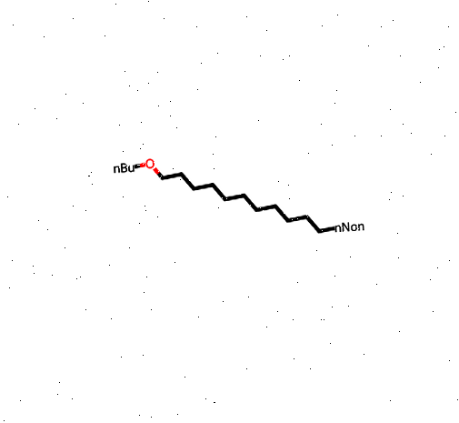 CCCCCCCCCCCCCCCCCCCCOCCCC